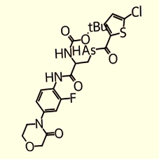 CC(C)(C)OC(=O)NC(C[AsH]C(=O)c1ccc(Cl)s1)C(=O)Nc1ccc(N2CCOCC2=O)cc1F